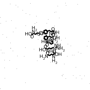 CSCCC(N)C(=O)O.N=C(N)NCCCC(N)C(=O)O.NC(=O)CCC(N)C(=O)O.NC(Cc1ccc(O)cc1)C(=O)O.NC(Cc1ccccc1)C(=O)O.O=C(O)[C@@H]1CCCN1